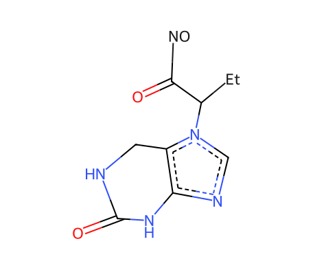 CCC(C(=O)N=O)n1cnc2c1CNC(=O)N2